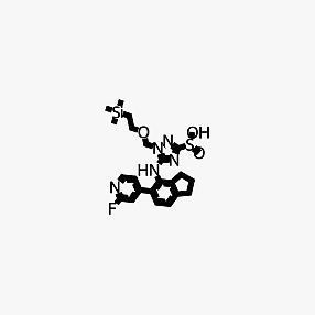 C[Si](C)(C)CCOCn1nc(S(=O)O)nc1Nc1c(-c2ccnc(F)c2)ccc2c1CCC2